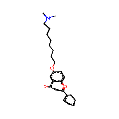 CN(C)CCCCCCCCOc1ccc2oc(-c3ccccc3)cc(=O)c2c1